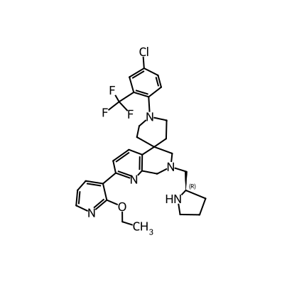 CCOc1ncccc1-c1ccc2c(n1)CN(C[C@H]1CCCN1)CC21CCN(c2ccc(Cl)cc2C(F)(F)F)CC1